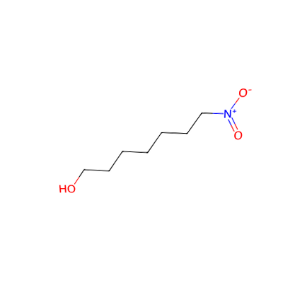 O=[N+]([O-])CCCCCCCO